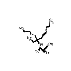 C=CC(=O)O.CCCCCCC(O)(CC)COCCO